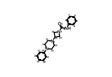 O=C(Nc1ccccc1)N1CC(N2CCN(c3ccccc3)CC2)C1